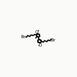 COc1ccc(-c2ccc(OC)c(CCCCCCBr)c2C)cc1CCCCCCBr